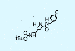 CC(C)(C)OC(=O)NCCCC[C@H](N)C(=O)NCc1ccc(Cl)cc1